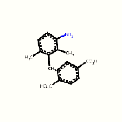 Cc1ccc(N)c(C)c1C.O=C(O)c1ccc(C(=O)O)cc1